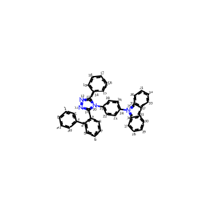 c1ccc(-c2ccccc2-c2nnc(-c3ccccc3)n2-c2ccc(-n3c4ccccc4c4ccccc43)cc2)cc1